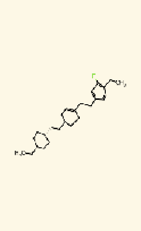 CCc1ccc(CCC2=CCC(CC[C@H]3CC[C@H](CC)CC3)CC2)cc1F